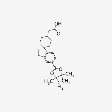 CC1(C)OB(c2ccc3c(c2)CC[C@]32CC[C@@H](CC(=O)O)CC2)OC1(C)C